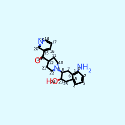 Nc1cccc2c1CC(N1CCC(C(=O)c3cccnc3)CC1)C(O)C2